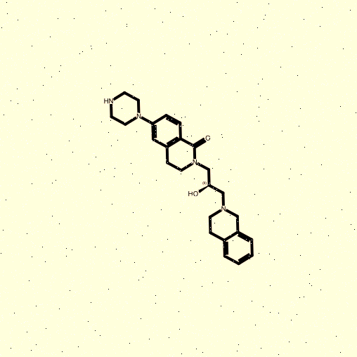 O=C1c2ccc(N3CCNCC3)cc2CCN1C[C@H](O)CN1CCc2ccccc2C1